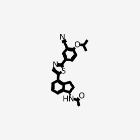 CC(=O)N[C@@H]1CCc2c(-c3cnc(-c4ccc(OC(C)C)c(C#N)c4)s3)cccc21